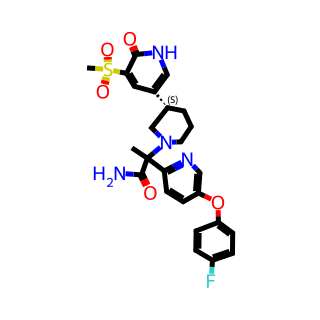 CC(C(N)=O)(c1ccc(Oc2ccc(F)cc2)cn1)N1CCC[C@@H](c2c[nH]c(=O)c(S(C)(=O)=O)c2)C1